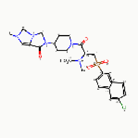 CN1C=C2C(=O)N(C3CCN(C(=O)[C@@H](CS(=O)(=O)c4ccc5cc(Cl)ccc5c4)N(C)C(=O)O)CC3)CN2C1